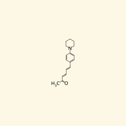 CC(=O)C=CC=Cc1ccc(N2CCCCC2)cc1